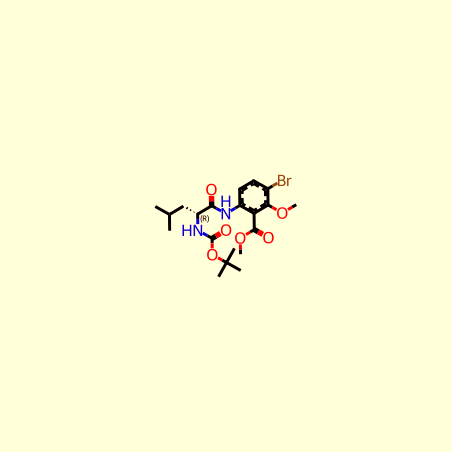 COC(=O)c1c(NC(=O)[C@@H](CC(C)C)NC(=O)OC(C)(C)C)ccc(Br)c1OC